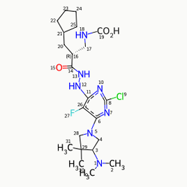 CN(C)C1CN(c2nc(Cl)nc(NNC(=O)[C@@H](CNC(=O)O)CC3CCCC3)c2F)CC1(C)C